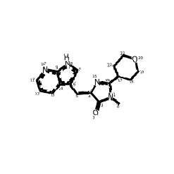 CN1C(=O)/C(=C/c2c[nH]c3ncccc23)N=C1C1CCOCC1